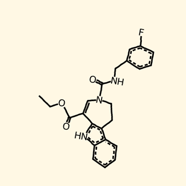 CCOC(=O)C1=CN(C(=O)NCc2cccc(F)c2)CCc2c1[nH]c1ccccc21